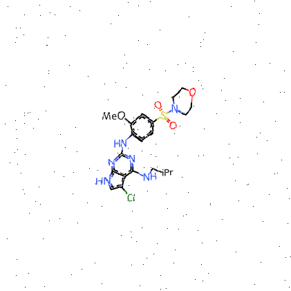 COc1cc(S(=O)(=O)N2CCOCC2)ccc1Nc1nc(NCC(C)C)c2c(Cl)c[nH]c2n1